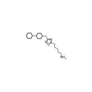 NCCCC[CH]c1nc(Cc2ccc(-c3ccccc3)cc2)no1